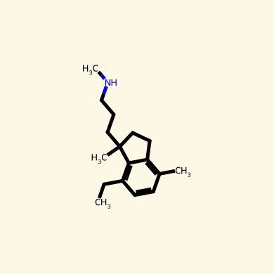 CCc1ccc(C)c2c1C(C)(CCCNC)CC2